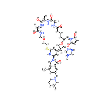 C[C@H]1CCCN(Cc2cc3c(c(C(F)(F)F)c2)CN(c2cc(C4(Cc5nncn5C)COC4)cc(SCCOCNC(=O)[C@H](C)NC(=O)[C@@H](C)NC(=O)[C@H](C)NC(=O)CCCCCN4C(=O)C=CC4=O)n2)C3=O)C1